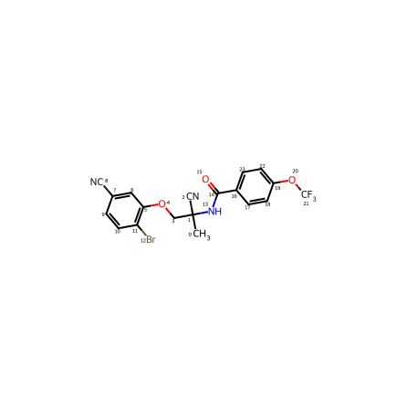 CC(C#N)(COc1cc(C#N)ccc1Br)NC(=O)c1ccc(OC(F)(F)F)cc1